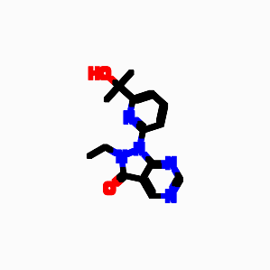 CCn1c(=O)c2cncnc2n1-c1cccc(C(C)(C)O)n1